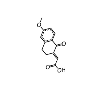 COc1ccc2c(c1)CCC(=CC(=O)O)C2=O